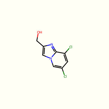 OCc1cn2cc(Cl)cc(Cl)c2n1